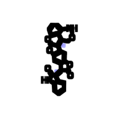 O=C1Nc2ccccc2/C1=C1\C(=O)Oc2cc3c(cc21)OC(=O)/C3=C1/COCNc2ccccc21